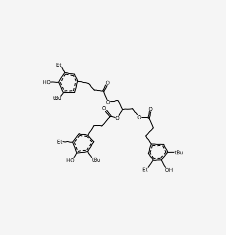 CCc1cc(CCC(=O)OCC(COC(=O)CCc2cc(CC)c(O)c(C(C)(C)C)c2)OC(=O)CCc2cc(CC)c(O)c(C(C)(C)C)c2)cc(C(C)(C)C)c1O